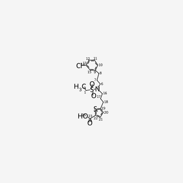 CCS(=O)(=O)N(CCCc1cccc(Cl)c1)CCCc1ccc(C(=O)O)s1